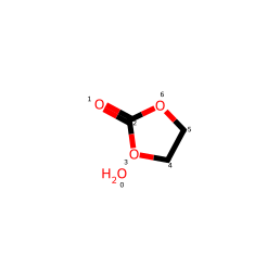 O.O=C1OCCO1